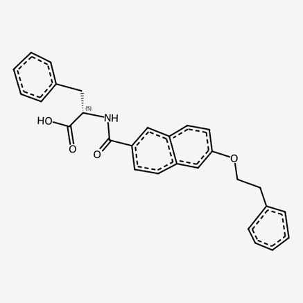 O=C(N[C@@H](Cc1ccccc1)C(=O)O)c1ccc2cc(OCCc3ccccc3)ccc2c1